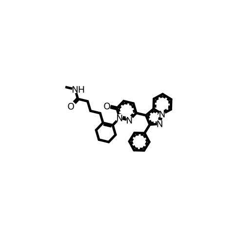 CNC(=O)CCCC1=C(n2nc(-c3c(-c4ccccc4)nn4ccccc34)ccc2=O)CCCC1